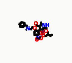 CCC1COP(=O)(C2=C(C)NC(C)=C(C(=O)OCCN(C)Cc3ccccc3)C2c2cccc([N+](=O)[O-])c2)OC1